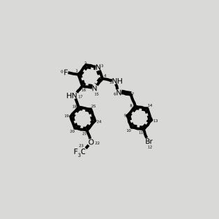 Fc1cnc(N/N=C/c2ccc(Br)cc2)nc1Nc1ccc(OC(F)(F)F)cc1